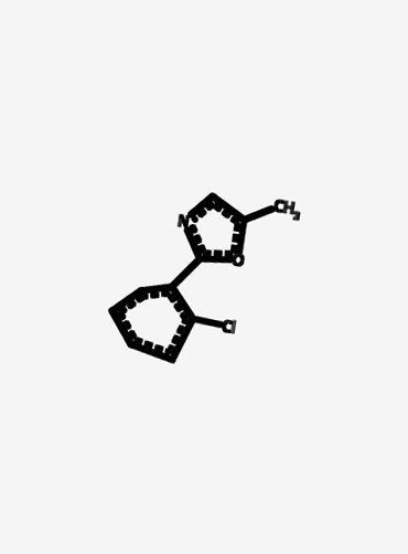 Cc1cnc(-c2ccccc2Cl)o1